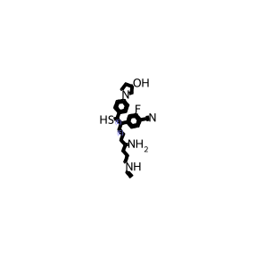 C=CNCCCC(N)C/C=C/C(=C(\S)c1ccc(N2CCC(O)C2)cc1)c1ccc(C#N)c(F)c1